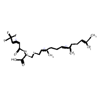 CC(C)=CCC/C(C)=C/CC/C(C)=C/CSC[C@H](NC(=O)/C=C/C(F)(F)F)C(=O)O